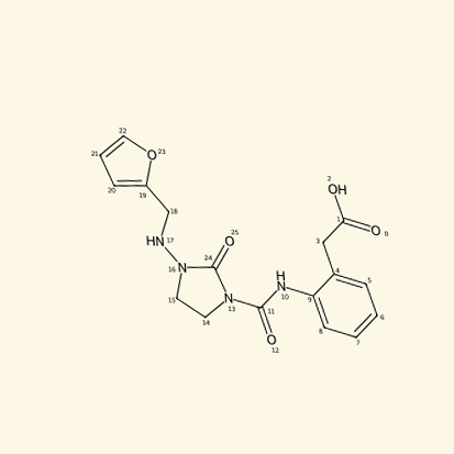 O=C(O)Cc1ccccc1NC(=O)N1CCN(NCc2ccco2)C1=O